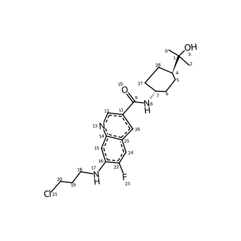 CC(C)(O)[C@H]1CC[C@H](NC(=O)c2cnc3cc(NCCCCl)c(F)cc3c2)CC1